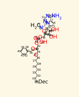 C=NC[C@@]1(c2ccc3c(N)ncnn23)O[C@H](COP(=O)(O)OC[C@@H](COCCCCCCCCCCCCCCCCCC)OCc2ccccc2)[C@@H](O)[C@H]1O